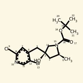 C[C@H]1C[C@](O)(Cc2cc(Cl)ncc2Br)CN1C(=O)OC(C)(C)C